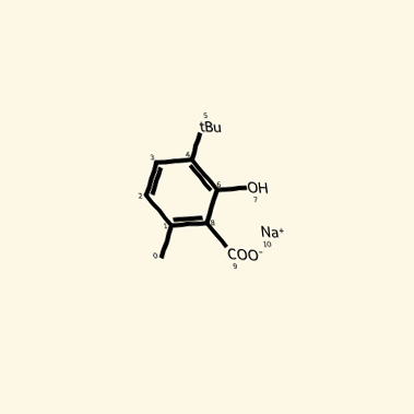 Cc1ccc(C(C)(C)C)c(O)c1C(=O)[O-].[Na+]